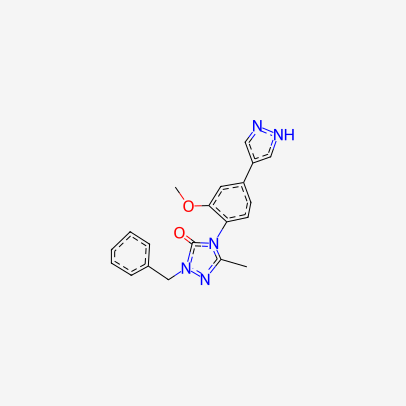 COc1cc(-c2cn[nH]c2)ccc1-n1c(C)nn(Cc2ccccc2)c1=O